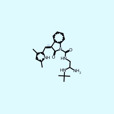 Cc1cc(C)c(/C=C2\C(=O)N(C(=O)NCC(N)NC(C)(C)C)c3ccccc32)[nH]1